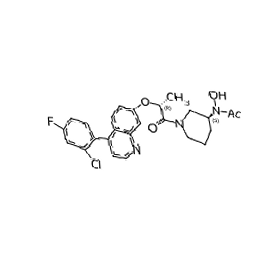 CC(=O)N(O)[C@H]1CCCN(C(=O)[C@@H](C)Oc2ccc3c(-c4ccc(F)cc4Cl)ccnc3c2)C1